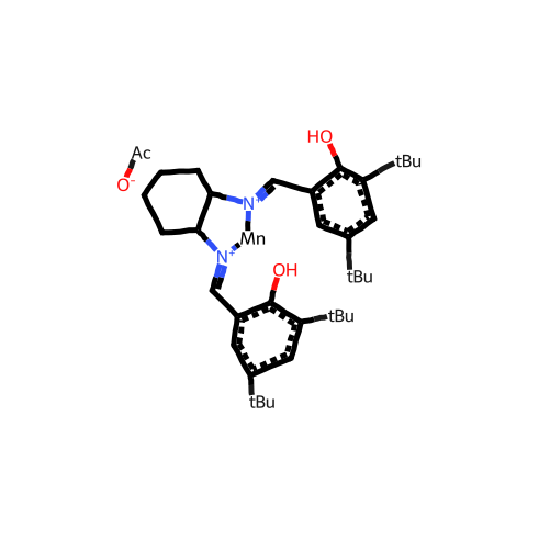 CC(=O)[O-].CC(C)(C)c1cc(C=[N+]2[Mn][N+](=Cc3cc(C(C)(C)C)cc(C(C)(C)C)c3O)C3CCCCC32)c(O)c(C(C)(C)C)c1